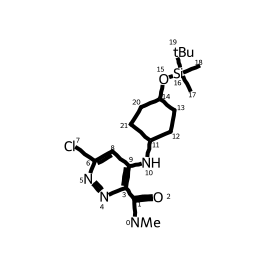 CNC(=O)c1nnc(Cl)cc1NC1CCC(O[Si](C)(C)C(C)(C)C)CC1